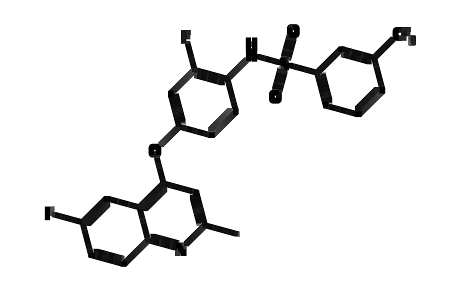 Cc1cc(Oc2ccc(NS(=O)(=O)c3cccc(C(F)(F)F)c3)c(F)c2)c2cc(F)ccc2n1